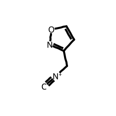 [C-]#[N+]Cc1ccon1